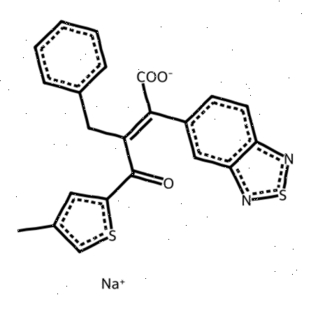 Cc1csc(C(=O)C(Cc2ccccc2)=C(C(=O)[O-])c2ccc3nsnc3c2)c1.[Na+]